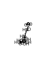 O=C(CCN1C(=O)C=CC1=O)NCCCCCNC(=O)O[C@@H]1[C@H](O)[C@H](OP(=O)(O)O)[C@@H](O)[C@H](O)[C@H]1O